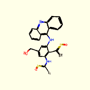 CCC(Nc1cc(CO)cc(Nc2c3ccccc3nc3ccccc23)c1C(CC)=S=O)=S=O